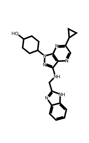 OC1CCC(n2nc(NCc3nc4ccccc4[nH]3)c3ncc(C4CC4)nc32)CC1